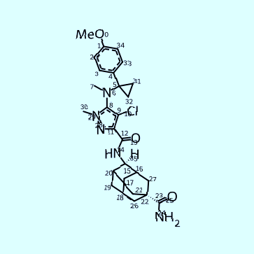 COc1ccc(C2(N(C)c3c(Cl)c(C(=O)N[C@H]4C5CC6CC4C[C@](C(N)=O)(C6)C5)nn3C)CC2)cc1